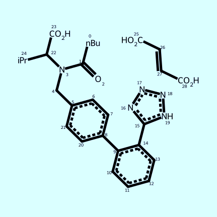 CCCCC(=O)N(Cc1ccc(-c2ccccc2-c2nnn[nH]2)cc1)C(C(=O)O)C(C)C.O=C(O)/C=C/C(=O)O